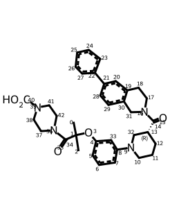 CC(C)(Oc1cccc(N2CCC[C@@H](C(=O)N3CCc4cc(-c5ccccc5)ccc4C3)C2)c1)C(=O)N1CCN(C(=O)O)CC1